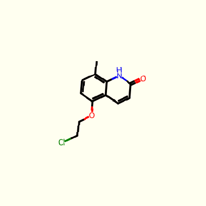 Cc1ccc(OCCCl)c2ccc(=O)[nH]c12